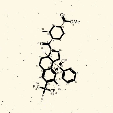 COC(=O)[C@@H]1CC[C@@H](C(=O)N2CC[C@@]3(S(=O)(=O)c4ccccc4)c4cc(F)c(C(F)(C(F)(F)F)C(F)(F)F)cc4CC[C@@H]23)[C@@H](C)C1